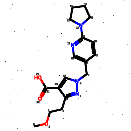 COCCc1nn(Cc2ccc(N3CCCC3)nc2)cc1C(=O)O